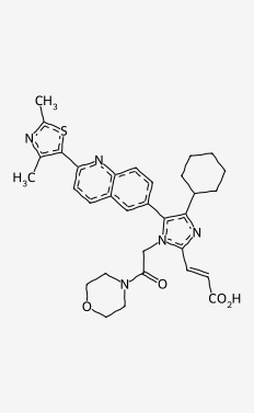 Cc1nc(C)c(-c2ccc3cc(-c4c(C5CCCCC5)nc(C=CC(=O)O)n4CC(=O)N4CCOCC4)ccc3n2)s1